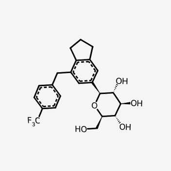 OC[C@H]1O[C@@H](c2cc3c(c(Cc4ccc(C(F)(F)F)cc4)c2)CCC3)[C@H](O)[C@@H](O)[C@@H]1O